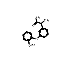 COc1ccccc1Oc1cccc(C(C)C(N)=O)c1